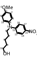 COc1ccc(N(CCCCCO)c2ccc([N+](=O)[O-])cc2)cc1